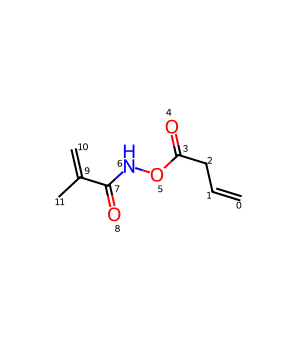 C=CCC(=O)ONC(=O)C(=C)C